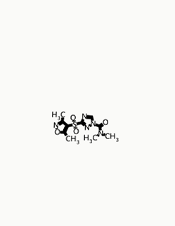 Cc1noc(C)c1S(=O)(=O)c1ncn(C(=O)N(C)C)n1